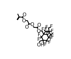 C=C(C)C(=O)OCC(=O)OCC(=O)OCC12C(F)(F)C(C)(CO)C(F)(F)C(F)(C(C)(F)C(F)(C(F)F)C1(F)F)C2(F)F